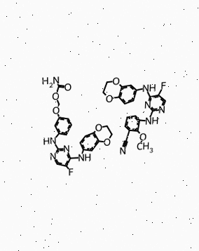 COc1c(C#N)cccc1Nc1ncc(F)c(Nc2ccc3c(c2)OCCO3)n1.NC(=O)OCOc1cccc(Nc2ncc(F)c(Nc3ccc4c(c3)OCCO4)n2)c1